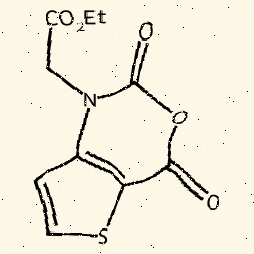 CCOC(=O)Cn1c(=O)oc(=O)c2sccc21